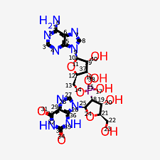 Nc1ncnc2c1ncn2[C@@H]1O[C@H](COP(=O)(O)[C@@H]2[C@H](O)[C@@H](CO)O[C@H]2n2cnc3c(=O)[nH]c(=O)[nH]c32)[C@@H](O)[C@H]1O